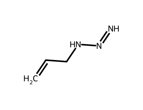 C=CCNN=N